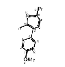 COc1ccc(-c2ccc(C(C)C)nc2C)cn1